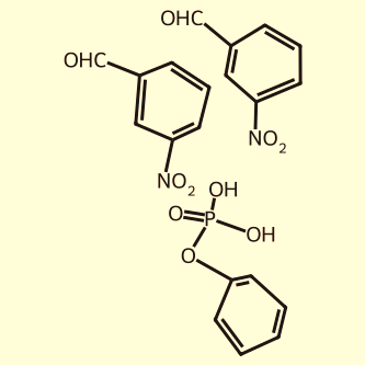 O=Cc1cccc([N+](=O)[O-])c1.O=Cc1cccc([N+](=O)[O-])c1.O=P(O)(O)Oc1ccccc1